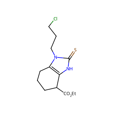 CCOC(=O)C1CCCc2c1[nH]c(=S)n2CCCCl